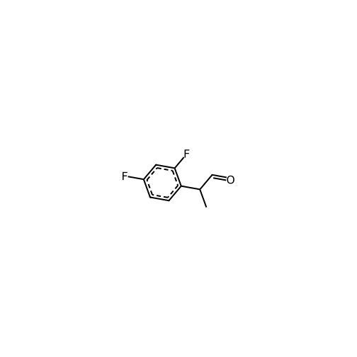 CC(C=O)c1ccc(F)cc1F